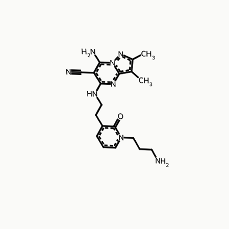 Cc1nn2c(N)c(C#N)c(NCCc3cccn(CCCN)c3=O)nc2c1C